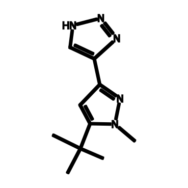 Cn1nc(-c2c[nH]nn2)cc1C(C)(C)C